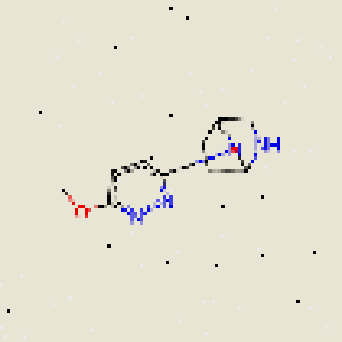 COc1ccc(N2CC3CCC(C2)NC3)nn1